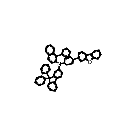 C1=CC(N(c2ccc3c(c2)C(c2ccccc2)(c2ccccc2)c2ccccc2-3)c2ccc3ccccc3c2-c2ccccc2)CC=C1c1ccc2c(c1)oc1ccccc12